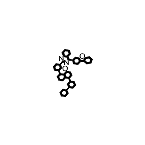 c1ccc(-c2cccc(-c3ccc4c5c(cccc35)-c3cccc(-c5nc(-c6ccc7c(c6)oc6ccccc67)c6ccccc6n5)c3O4)c2)cc1